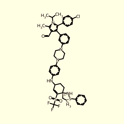 CC[C@]1(NSc2ccccc2)CCC(Nc2ccc(N3CCN(c4cccc(-c5c(C=O)c(C)n(C(C)C)c5-c5ccc(Cl)cc5)c4)CC3)cc2)C=C1S(=O)(=O)C(F)(F)F